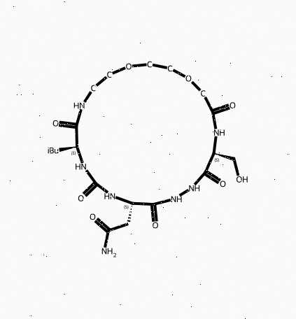 CCC(C)[C@@H]1NC(=O)N[C@@H](CC(N)=O)C(=O)NNC(=O)[C@H](CO)NC(=O)COCCOCCNC1=O